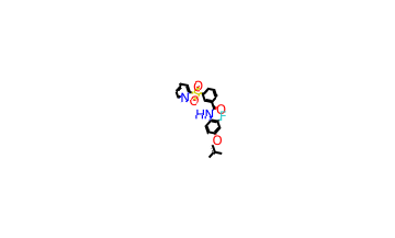 CC(C)COc1ccc(NC(=O)c2cccc(S(=O)(=O)c3ccccn3)c2)c(F)c1